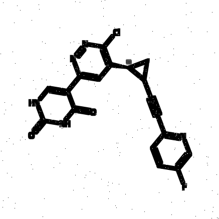 O=c1[nH]cc(-c2cc([C@H]3CC3C#Cc3ccc(F)cn3)c(Cl)nn2)c(=O)[nH]1